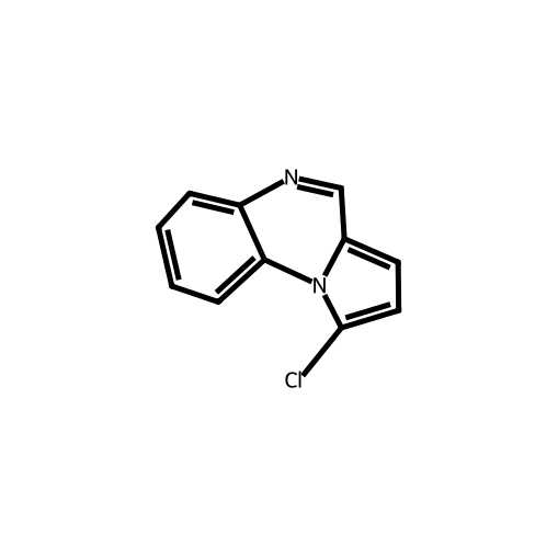 Clc1ccc2cnc3ccccc3n12